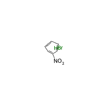 Br.O=[N+]([O-])c1ccccc1